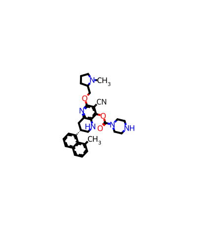 Cc1cccc2cccc([C@H]3CNc4c(nc(OCC5CCCN5C)c(C#N)c4OC(=O)N4CCNCC4)C3)c12